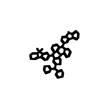 CC1(C)c2ccccc2-c2ccc(N3c4cc(N(c5ccccc5)c5ccccc5)ccc4B4c5ccccc5N(c5ccc6sc7ccccc7c6c5)c5cccc3c54)cc21